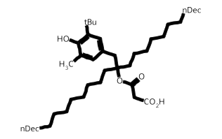 CCCCCCCCCCCCCCCCCCC(CCCCCCCCCCCCCCCCC)(Cc1cc(C)c(O)c(C(C)(C)C)c1)OC(=O)CC(=O)O